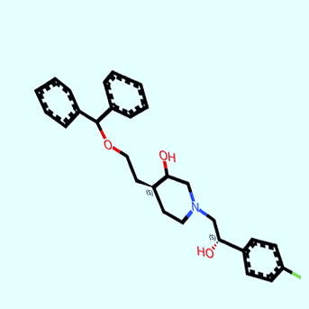 OC1CN(C[C@@H](O)c2ccc(F)cc2)CC[C@H]1CCOC(c1ccccc1)c1ccccc1